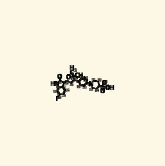 CC1(C)OC(=C2C(=O)Nc3cc(F)ccc32)C=C1c1ccc(N2CCC(S(=O)(=O)O)CC2)nc1